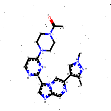 CC(=O)N1CCN(c2ccnc(-c3cnc4cnc(-c5cn(C)nc5C)cn34)n2)CC1